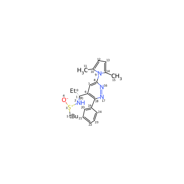 CC[C@@H](N[S+]([O-])C(C)(C)C)c1cc(-n2c(C)ccc2C)nnc1-c1ccccc1